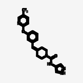 O=C(Nc1cn[nH]c1)N1CCC(=Cc2cccc(Oc3ccc(C(F)(F)F)cn3)c2)CC1